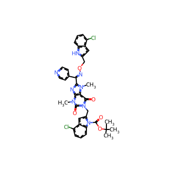 Cn1c(/C(=N/OCc2cc3c(Cl)cccc3[nH]2)c2ccncc2)nc2c1c(=O)n(Cc1cc3c(Cl)cccc3n1C(=O)OC(C)(C)C)c(=O)n2C